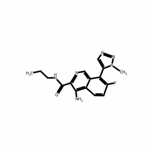 CCCNC(=O)c1ncc2c(-c3cnnn3C)c(F)ccc2c1N